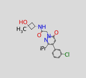 CC(C)c1nn(CC(=O)N[C@H]2C[C@](C)(O)C2)c(=O)cc1-c1cccc(Cl)c1